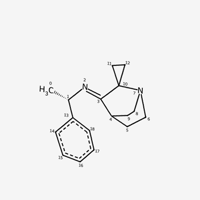 C[C@H](N=C1C2CCN(CC2)C12CC2)c1ccccc1